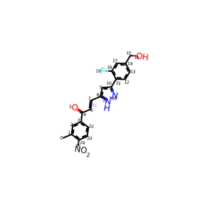 Cc1cc(C(=O)/C=C/c2cc(-c3ccc(CO)cc3F)n[nH]2)ccc1[N+](=O)[O-]